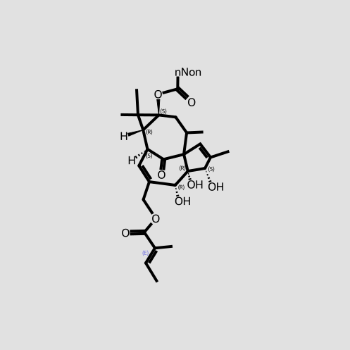 C/C=C(\C)C(=O)OCC1=C[C@@H]2C(=O)C3(C=C(C)[C@H](O)[C@@]3(O)[C@@H]1O)C(C)C[C@]1(OC(=O)CCCCCCCCC)[C@H]2C1(C)C